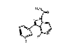 NC(=O)n1nc(-c2cccc(F)c2)c2c(F)[c]ccc21